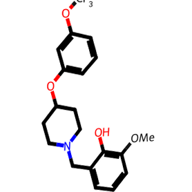 COc1cccc(CN2CCC(Oc3cccc(OC(F)(F)F)c3)CC2)c1O